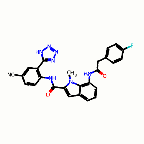 Cn1c(C(=O)Nc2ccc(C#N)cc2-c2nnn[nH]2)cc2cccc(NC(=O)Cc3ccc(F)cc3)c21